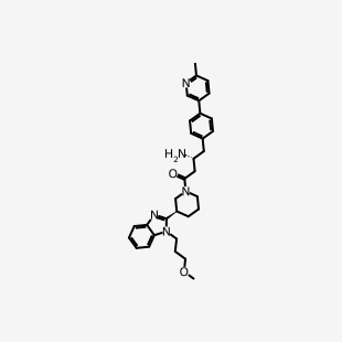 COCCCn1c([C@@H]2CCCN(C(=O)C[C@H](N)Cc3ccc(-c4ccc(C)nc4)cc3)C2)nc2ccccc21